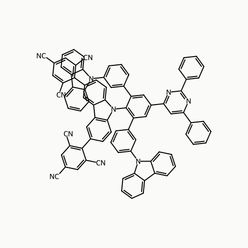 N#Cc1cc(C#N)c(-c2ccc3c(c2)c2cc(-c4c(C#N)cc(C#N)cc4C#N)ccc2n3-c2c(-c3cccc(-n4c5ccccc5c5ccccc54)c3)cc(-c3cc(-c4ccccc4)nc(-c4ccccc4)n3)cc2-c2cccc(-n3c4ccccc4c4ccccc43)c2)c(C#N)c1